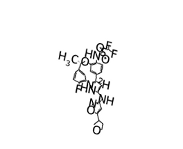 [2H]c1c(-c2ccc(NS(=O)(=O)C(F)F)c(O[C@@H](C)c3ccc(F)cc3)c2)n[nH]c1Nc1cc(C2CCOC2)on1